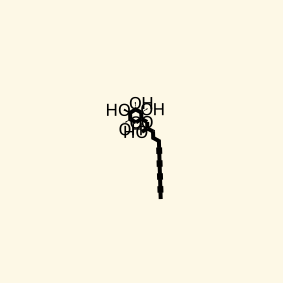 CC#CC#CC#CC#CCCCC(O)OC1O[C@H](CO)[C@@H](O)[C@H](O)[C@@H]1O